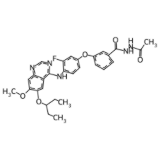 CCC(CC)Oc1cc2c(Nc3ccc(Oc4cccc(C(=O)NNC(C)=O)c4)cc3F)ncnc2cc1OC